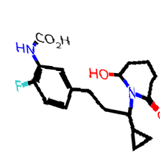 O=C(O)Nc1cc(CCC(C2CC2)N2C(=O)CCCC2O)ccc1F